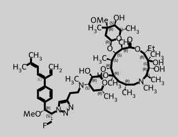 C=C/C(=C\C=C(C)C)c1ccc([C@@H](OC)[C@@H](CF)n2cc(CCN(C)[C@H]3C[C@@H](C)O[C@@H](O[C@@H]4[C@@H](C)[C@H](O[C@H]5C[C@@](C)(OC)[C@@H](O)[C@H](C)O5)[C@@H](C)C(=O)O[C@H](CC)[C@@](C)(O)[C@H](O)[C@@H](C)N(C)C[C@H](C)C[C@@]4(C)O)[C@@H]3O)nn2)cc1